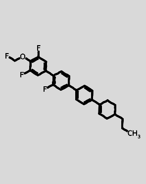 CCCC1CC=C(c2ccc(-c3ccc(-c4cc(F)c(OCF)c(F)c4)c(F)c3)cc2)CC1